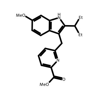 CCC(CC)c1[nH]c2cc(OC)ccc2c1Cc1cccc(C(=O)OC)n1